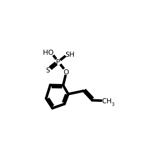 CC=Cc1ccccc1OP(O)(=S)S